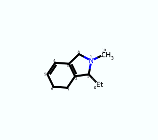 CCC1C2=C(C=CCC2)CN1C